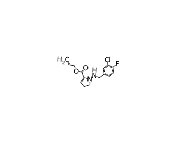 C=CCOC(=O)C1=CCCN1NCc1ccc(F)c(Cl)c1